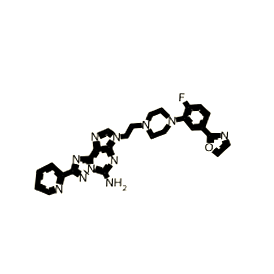 Nc1nc2c(ncn2CCN2CCN(c3cc(-c4ncco4)ccc3F)CC2)c2nc(-c3ccccn3)nn12